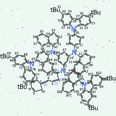 C=C(/C=C\C=C1\C=CC=CC1)N(c1cc(N(c2ccc(-n3c4ccc(C(C)(C)C)cc4c4cc(C(C)(C)C)ccc43)cc2)c2cccc3ccccc23)cc(N(c2cccc3ccccc23)c2ccc(-n3c4ccc(C(C)(C)C)cc4c4cc(C(C)(C)C)ccc43)c3ccccc23)c1)c1ccc(-n2c3ccc(C(C)(C)C)cc3c3cc(C(C)(C)C)ccc32)c2ccccc12